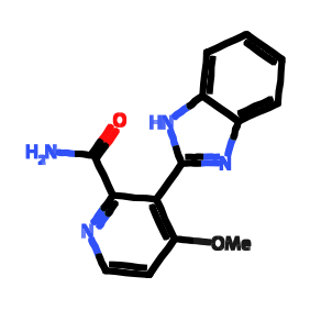 COc1ccnc(C(N)=O)c1-c1nc2ccccc2[nH]1